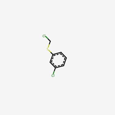 ClCSc1cccc(Cl)c1